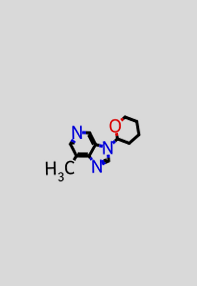 Cc1cncc2c1ncn2C1CCCCO1